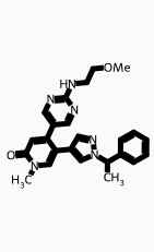 COCCNc1ncc(-c2cc(=O)n(C)cc2-c2cnn(C(C)c3ccccc3)c2)cn1